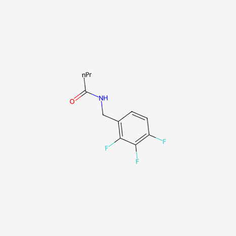 CCCC(=O)NCc1ccc(F)c(F)c1F